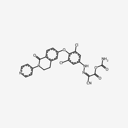 N#CC(=NNc1cc(Cl)c(Oc2ccc3c(c2)CCN(c2ccncc2)C3=O)c(Cl)c1)C(=O)OC(N)=O